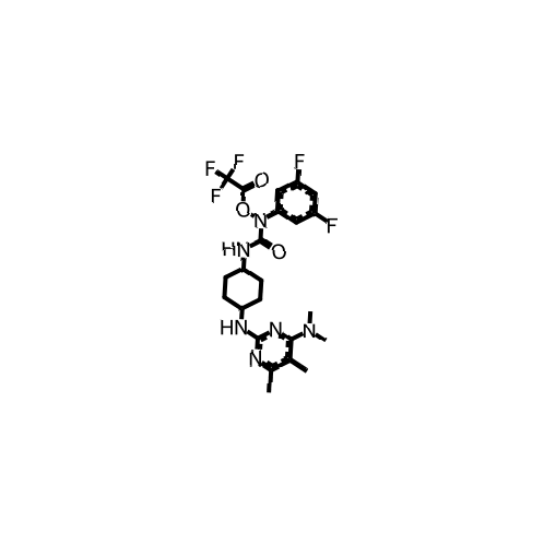 Cc1nc(NC2CCC(NC(=O)N(OC(=O)C(F)(F)F)c3cc(F)cc(F)c3)CC2)nc(N(C)C)c1C